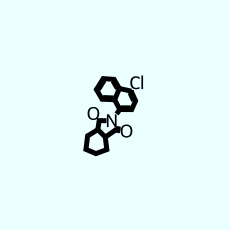 O=C1C2CCCCC2C(=O)N1c1ccc(Cl)c2ccccc12